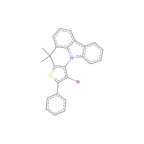 CC1(C)c2sc(-c3ccccc3)c(Br)c2-n2c3ccccc3c3cccc1c32